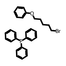 BrCCCCCOc1ccccc1.c1ccc(P(c2ccccc2)c2ccccc2)cc1